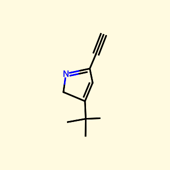 C#CC1=NCC(C(C)(C)C)=C1